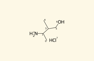 CC(N)C(C)CO.Cl